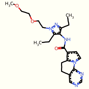 CCc1nn(CCOCCOC)c(CC)c1NC(=O)c1ccn2c1CCc1cncnc1-2